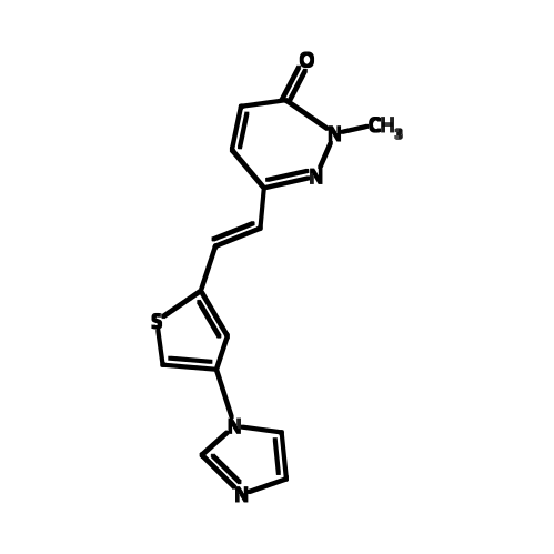 Cn1nc(C=Cc2cc(-n3ccnc3)cs2)ccc1=O